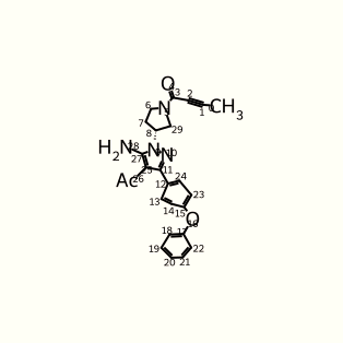 CC#CC(=O)N1CC[C@@H](n2nc(-c3ccc(Oc4ccccc4)cc3)c(C(C)=O)c2N)C1